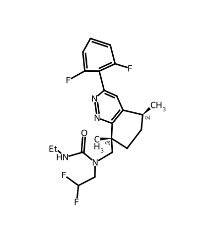 CCNC(=O)N(CC(F)F)C[C@@]1(C)CC[C@H](C)c2cc(-c3c(F)cccc3F)nnc21